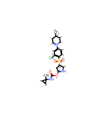 N#CC1(NC(=O)O[C@H]2C[C@@H](S(=O)(=O)c3ccc(N4CCC(C(F)(F)F)CC4)cc3Cl)CN2)CC1